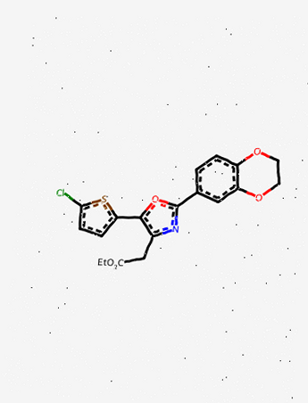 CCOC(=O)Cc1nc(-c2ccc3c(c2)OCCO3)oc1-c1ccc(Cl)s1